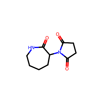 O=C1NCCCCC1N1C(=O)CCC1=O